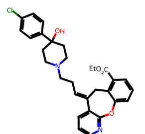 CCOC(=O)c1cccc2c1CC(=CCCN1CCC(O)(c3ccc(Cl)cc3)CC1)c1cccnc1O2